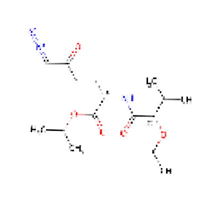 CCO[C@H](C(=O)N[C@@H](CCC(=O)C=[N+]=[N-])C(=O)OC(C)C)C(C)C